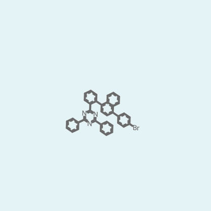 Brc1ccc(-c2ccc(-c3ccccc3-c3nc(-c4ccccc4)nc(-c4ccccc4)n3)c3ccccc23)cc1